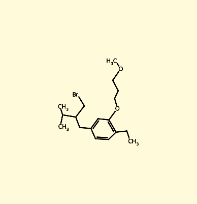 CCc1ccc(CC(CBr)C(C)C)cc1OCCCOC